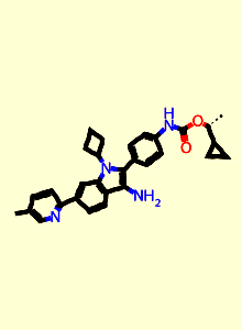 Cc1ccc(-c2ccc3c(N)c(-c4ccc(NC(=O)O[C@H](C)C5CC5)cc4)n(C4CCC4)c3c2)nc1